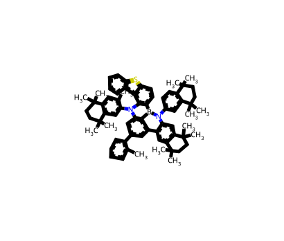 Cc1ccccc1-c1cc2c3c(c1)N(c1cc4c(cc1C)C(C)(C)CCC4(C)C)c1c(ccc4sc5ccccc5c14)B3N(c1ccc3c(c1)C(C)(C)CCC3(C)C)c1cc3c(cc1-2)C(C)(C)CCC3(C)C